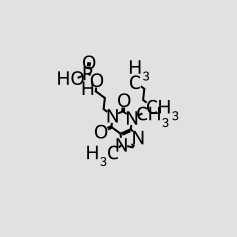 CCCC.Cn1cnc2c1c(=O)n(CCCO[PH](=O)O)c(=O)n2C